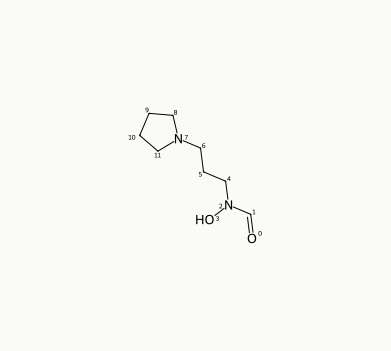 O=CN(O)CCCN1CCCC1